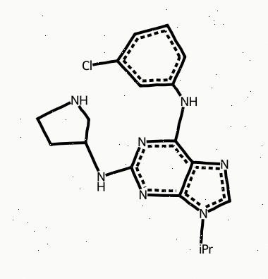 CC(C)n1cnc2c(Nc3cccc(Cl)c3)nc(NC3CCNC3)nc21